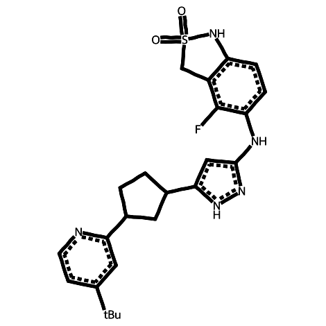 CC(C)(C)c1ccnc(C2CCC(c3cc(Nc4ccc5c(c4F)CS(=O)(=O)N5)n[nH]3)C2)c1